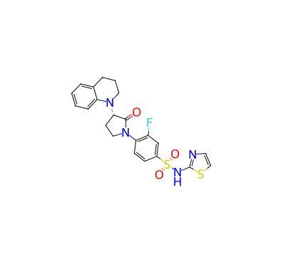 O=C1[C@@H](N2CCCc3ccccc32)CCN1c1ccc(S(=O)(=O)Nc2nccs2)cc1F